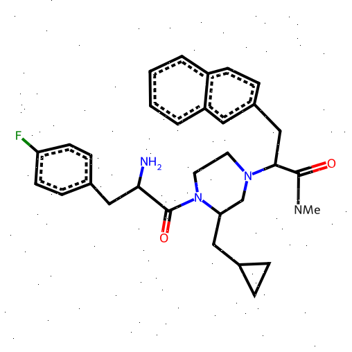 CNC(=O)C(Cc1ccc2ccccc2c1)N1CCN(C(=O)C(N)Cc2ccc(F)cc2)C(CC2CC2)C1